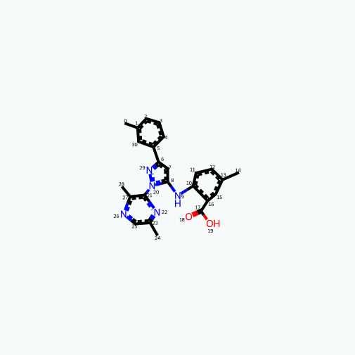 Cc1cccc(-c2cc(Nc3ccc(C)cc3C(=O)O)n(-c3nc(C)cnc3C)n2)c1